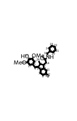 COc1cc(C=C2c3ccc(F)cc3C(CC(=O)NCc3ccccc3)C2C)cc(OC)c1O